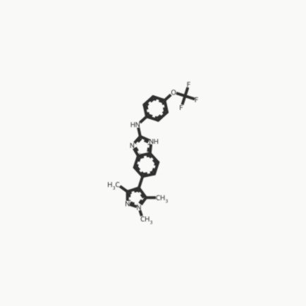 Cc1nn(C)c(C)c1-c1ccc2[nH]c(Nc3ccc(OC(F)(F)F)cc3)nc2c1